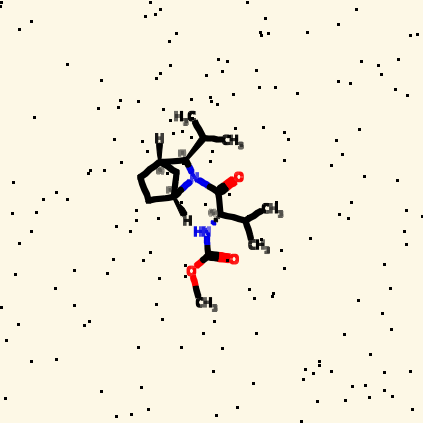 COC(=O)N[C@H](C(=O)N1[C@@H]2CC[C@@H](C2)[C@H]1C(C)C)C(C)C